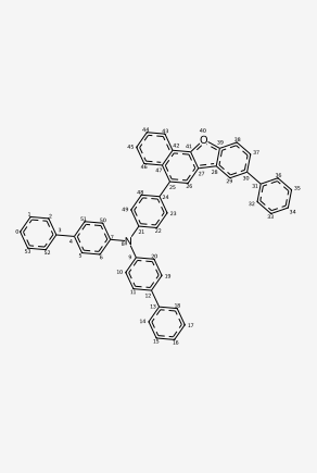 c1ccc(-c2ccc(N(c3ccc(-c4ccccc4)cc3)c3ccc(-c4cc5c6cc(-c7ccccc7)ccc6oc5c5ccccc45)cc3)cc2)cc1